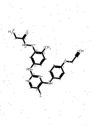 C#CCOc1ccc(Nc2nc(Nc3ccc(C)c(SNC(=O)CC)c3)ncc2F)cc1